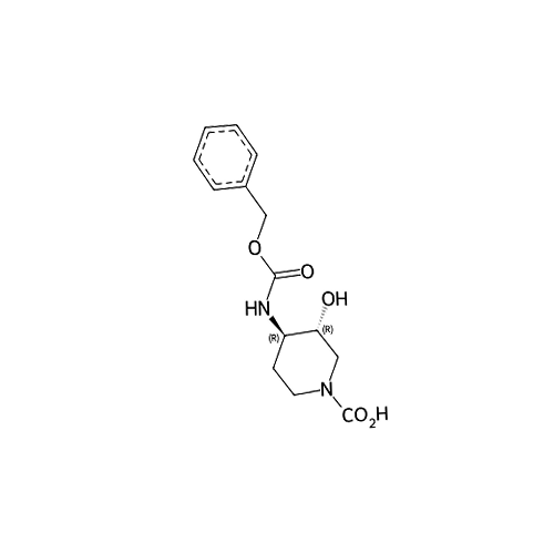 O=C(N[C@@H]1CCN(C(=O)O)C[C@H]1O)OCc1ccccc1